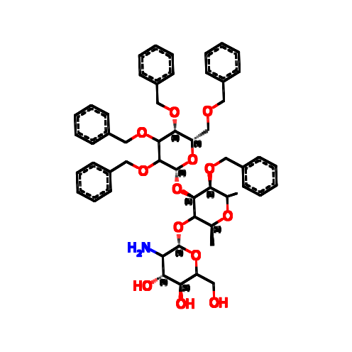 CC1O[C@@H](C)C(O[C@@H]2OC(CO)[C@@H](O)[C@H](O)C2N)[C@@H](O[C@H]2O[C@@H](COCc3ccccc3)[C@@H](OCc3ccccc3)C(OCc3ccccc3)C2OCc2ccccc2)[C@H]1OCc1ccccc1